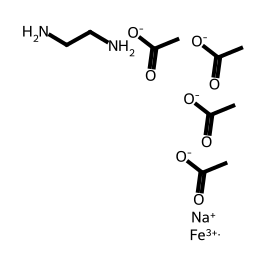 CC(=O)[O-].CC(=O)[O-].CC(=O)[O-].CC(=O)[O-].NCCN.[Fe+3].[Na+]